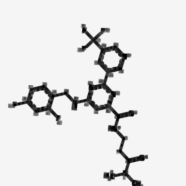 CN(C)C(=O)CCNC(=O)c1cc(NCc2ccc(F)cc2F)nc(-c2cncc(C(F)(F)F)c2)n1